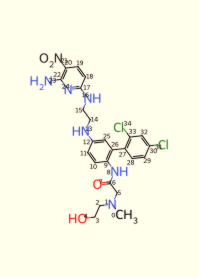 CN(CCO)CC(=O)Nc1ccc(NCCNc2ccc([N+](=O)[O-])c(N)n2)cc1-c1ccc(Cl)cc1Cl